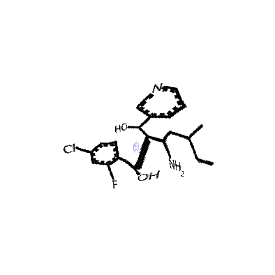 CCC(C)CC(N)/C(=C(\O)c1ccc(Cl)cc1F)C(O)c1cccnc1